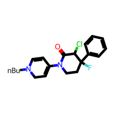 CCCCN1C=CC(N2CCC(F)(c3ccccc3)C(Cl)C2=O)=CC1